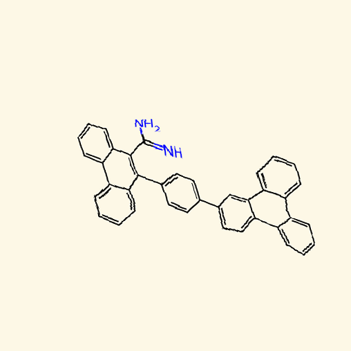 N=C(N)c1c(-c2ccc(-c3ccc4c5ccccc5c5ccccc5c4c3)cc2)c2ccccc2c2ccccc12